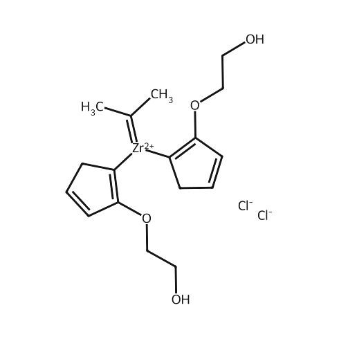 C[C](C)=[Zr+2]([C]1=C(OCCO)C=CC1)[C]1=C(OCCO)C=CC1.[Cl-].[Cl-]